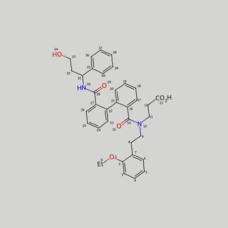 CCOc1ccccc1CCN(CCC(=O)O)C(=O)c1ccccc1-c1ccccc1C(=O)NC(CCO)c1ccccc1